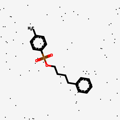 Cc1ccc(S(=O)(=O)OCCCCc2c[c]ccc2)cc1